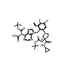 C=Cc1c(F)c(Cl)cc(N2CCC(NC(=O)OC(C)(C)C)(C(=O)NC3CC3)C2)c1Cn1cnc2c(N(C(=O)O)C(=O)OC(C)(C)C)ncnc21